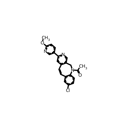 COc1ccc(-c2cc3c(cn2)CN(C(C)=O)c2ccc(Cl)cc2C=C3)cn1